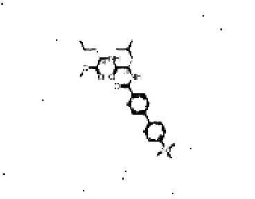 CCC[C@H](NC(=O)[C@H](CC(C)C)NC(=O)c1ccc(-c2cc[c]([Sn]([CH3])([CH3])[CH3])cc2)cc1)C(=O)OC